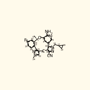 C[C@H]1Oc2cc(cnc2N)-c2c(c(C#N)nn2CC2CC2)Cc2cn(C)nc2-c2ccc(F)cc21